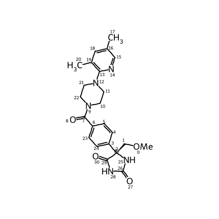 COC[C@@]1(c2ccc(C(=O)N3CCN(c4ncc(C)cc4C)CC3)cc2)NC(=O)NC1=O